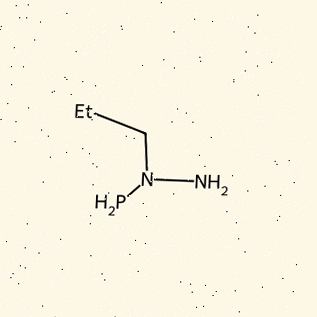 CCCN(N)P